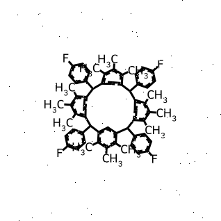 Cc1c2cc(c(C)c1C)C(c1ccc(F)cc1)c1cc(c(C)c(C)c1C)C(c1ccc(F)cc1)c1cc(c(C)c(C)c1C)C(c1ccc(F)cc1)c1cc(c(C)c(C)c1C)C2c1ccc(F)cc1